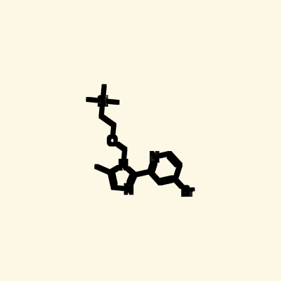 Cc1cnc(-c2cc(Br)ccn2)n1COCC[Si](C)(C)C